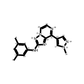 Cc1cc(C)cc(Nc2nc3c(-c4cnn(C)c4)nccn3n2)c1